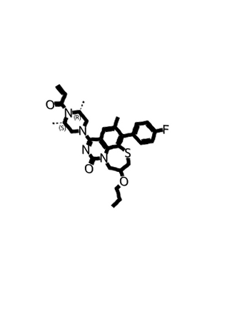 C=CC(=O)N1[C@H](C)CN(c2nc(=O)n3c4c(c(-c5ccc(F)cc5)c(C)cc24)SCC(OCCC)C3)C[C@@H]1C